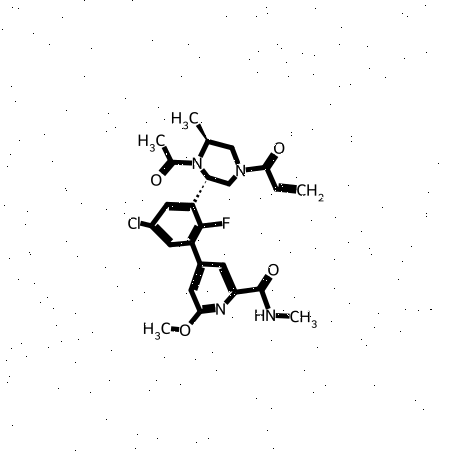 C=CC(=O)N1C[C@H](c2cc(Cl)cc(-c3cc(OC)nc(C(=O)NC)c3)c2F)N(C(C)=O)[C@@H](C)C1